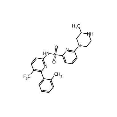 Cc1ccccc1-c1nc(NS(=O)(=O)c2cccc(N3CCNC(C)C3)n2)ccc1C(F)(F)F